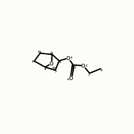 CCOC(=O)OC1CC2CCC1O2